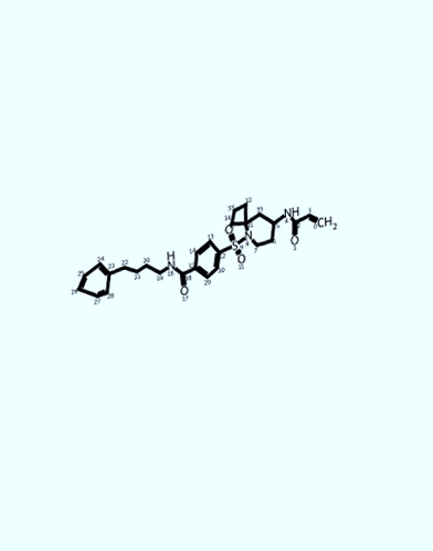 C=CC(=O)NC1CCN(S(=O)(=O)c2ccc(C(=O)NCCCCc3ccccc3)cc2)C2(CCC2)C1